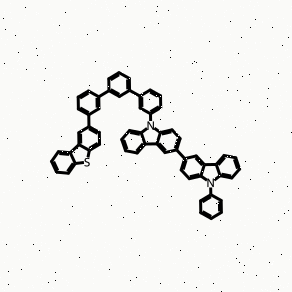 c1ccc(-n2c3ccccc3c3cc(-c4ccc5c(c4)c4ccccc4n5-c4cccc(-c5cccc(-c6cccc(-c7ccc8sc9ccccc9c8c7)c6)c5)c4)ccc32)cc1